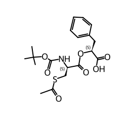 CC(=O)SC[C@@H](NC(=O)OC(C)(C)C)C(=O)O[C@@H](Cc1ccccc1)C(=O)O